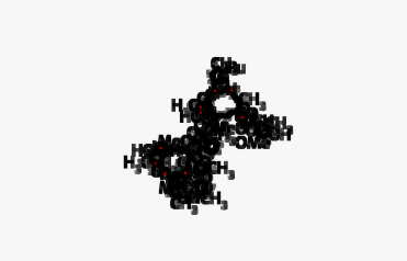 CC[C@H](C)[C@H]1O[C@]2(C=C[C@@H]1C)C[C@@H]1C[C@@H](C/C=C(\C)[C@@H](O[C@H]3C[C@H](OC)[C@@H](O[C@H]4C[C@H](OC)[C@@H](O)[C@H](C)O4)[C@H](C)O3)[C@@H](C)/C=C/C=C3\CO[C@@H]4[C@H](O)C(C)=C[C@@H](C(=O)O1)[C@]34O)O2.COCC(=O)N(c1c(C)cccc1C)C(C)C(=O)OC.CO[C@H]1C[C@H](O[C@H]2[C@H](C)O[C@@H](O[C@@H]3/C(C)=C/C[C@@H]4C[C@@H](C[C@]5(C=C[C@H](C)[C@@H](C(C)C)O5)O4)OC(=O)[C@@H]4C=C(C)[C@@H](O)[C@H]5OC/C(=C\C=C\[C@@H]3C)[C@]54O)C[C@@H]2OC)O[C@@H](C)[C@@H]1O